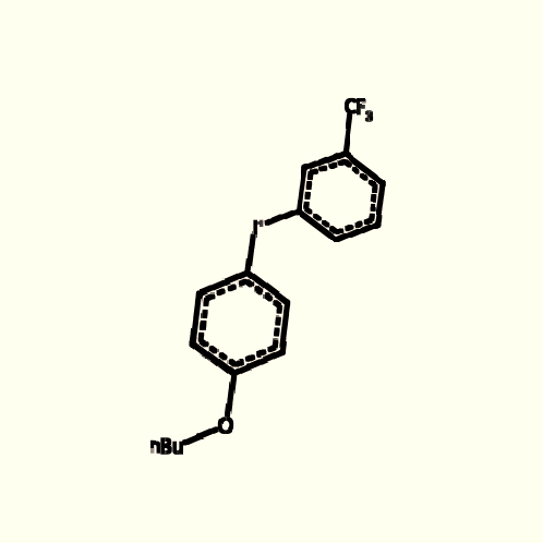 CCCCOc1ccc([I+]c2cccc(C(F)(F)F)c2)cc1